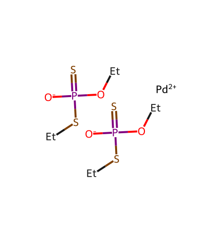 CCOP([O-])(=S)SCC.CCOP([O-])(=S)SCC.[Pd+2]